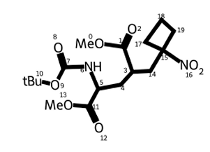 COC(=O)C(CC(NC(=O)OC(C)(C)C)C(=O)OC)CC1([N+](=O)[O-])CCC1